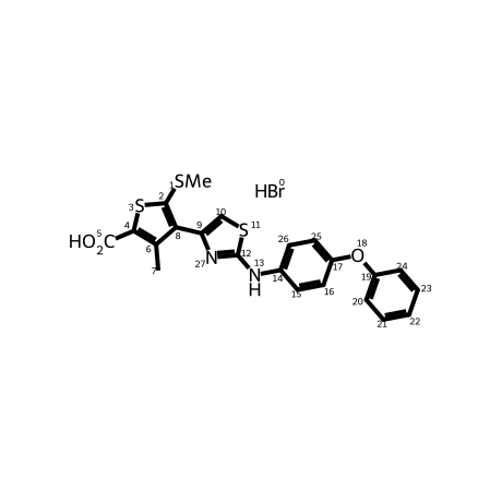 Br.CSc1sc(C(=O)O)c(C)c1-c1csc(Nc2ccc(Oc3ccccc3)cc2)n1